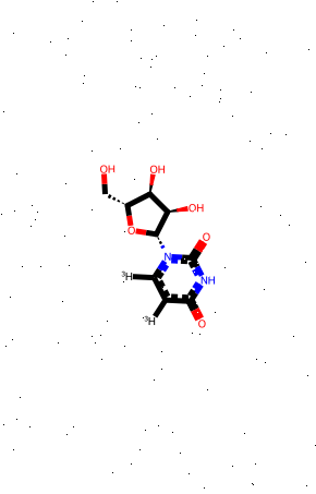 [3H]c1c([3H])n([C@@H]2O[C@H](CO)[C@@H](O)[C@H]2O)c(=O)[nH]c1=O